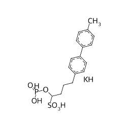 Cc1ccc(-c2ccc(CCCC(O[PH](=O)O)S(=O)(=O)O)cc2)cc1.[KH]